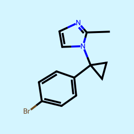 Cc1nccn1C1(c2ccc(Br)cc2)CC1